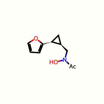 CC(=O)N(O)C[C@@H]1C[C@H]1c1ccco1